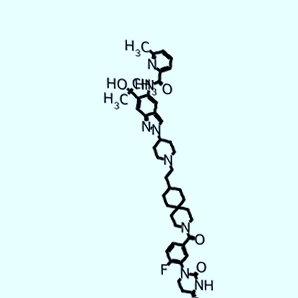 Cc1cccc(C(=O)Nc2cc3cn(C4CCN(CCC5CCC6(CC5)CCN(C(=O)c5ccc(F)c(N7CCC(=O)NC7=O)c5)CC6)CC4)nc3cc2C(C)(C)O)n1